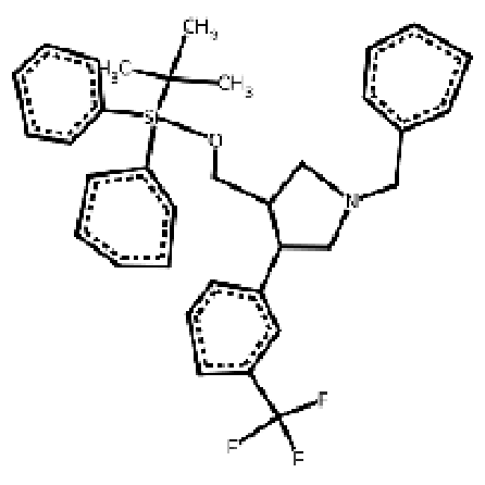 CC(C)(C)[Si](OCC1CN(Cc2ccccc2)CC1c1cccc(C(F)(F)F)c1)(c1ccccc1)c1ccccc1